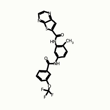 Cc1ccc(NC(=O)c2cccc(OC(F)(F)F)c2)cc1NC(=O)c1cc2nccnc2s1